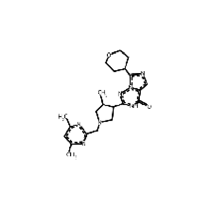 Cc1cc(C)nc(CN2CC(C)C(c3nn4c(C5CCOCC5)ncc4c(=O)[nH]3)C2)n1